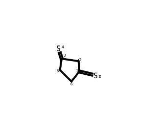 S=C1[CH]C(=S)CC1